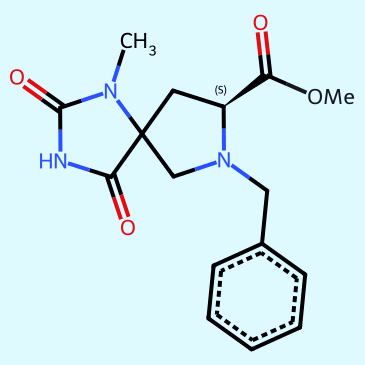 COC(=O)[C@@H]1CC2(CN1Cc1ccccc1)C(=O)NC(=O)N2C